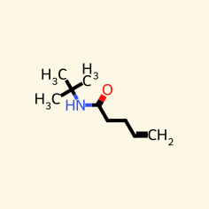 C=CCCC(=O)NC(C)(C)C